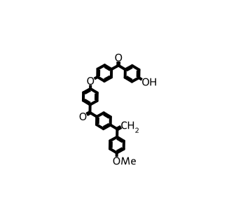 C=C(c1ccc(OC)cc1)c1ccc(C(=O)c2ccc(Oc3ccc(C(=O)c4ccc(O)cc4)cc3)cc2)cc1